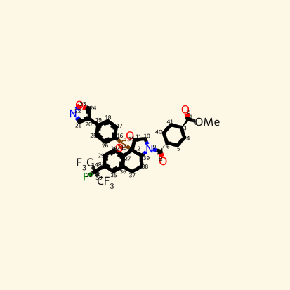 COC(=O)[C@H]1CC[C@H](C(=O)N2CCC3(S(=O)(=O)c4ccc(-c5cnoc5)cc4)c4ccc(C(F)(C(F)(F)F)C(F)(F)F)cc4CCC23)CC1